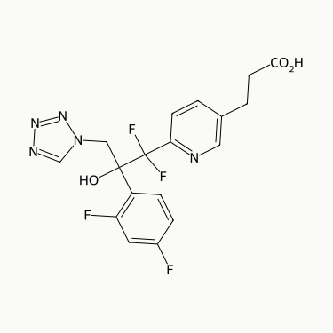 O=C(O)CCc1ccc(C(F)(F)C(O)(Cn2cnnn2)c2ccc(F)cc2F)nc1